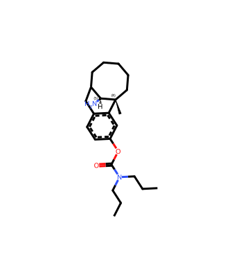 CCCN(CCC)C(=O)Oc1ccc2c(c1)[C@@]1(C)CCCCCC(C2)[C@@H]1N